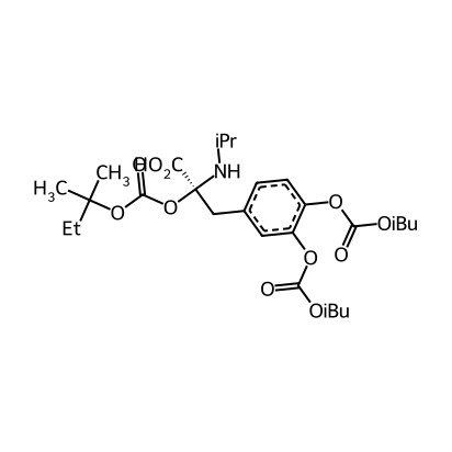 CCC(C)(C)OC(=O)O[C@](Cc1ccc(OC(=O)OCC(C)C)c(OC(=O)OCC(C)C)c1)(NC(C)C)C(=O)O